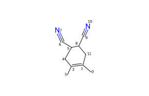 CC1=C(C)CC(C#N)C(C#N)C1